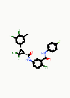 Cc1cc([C@H]2[C@H](C(=O)Nc3ccc(Cl)c(C(=O)Nc4ccc(F)cc4)c3)C2(Cl)Cl)cc(Cl)c1Cl